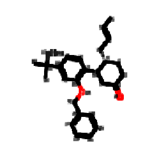 CC=CC[C@@H]1CCC(=O)C[C@H]1c1ccc(C(C)(C)CCCCCC)cc1OCc1ccccc1